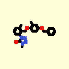 Cc1cc(OCc2ccccc2)ccc1OCc1c(C)cccc1-n1nnn(C)c1=O